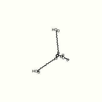 CN(C)CCCOC(=O)OCc1cc(OCCCCCCCCCCCCCCCCCC(=O)O)ccc1OCCCCCCCCCCCCCCCCCC(=O)O